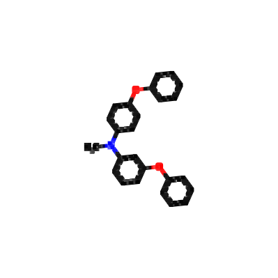 CN(c1ccc(Oc2ccccc2)cc1)c1cccc(Oc2ccccc2)c1